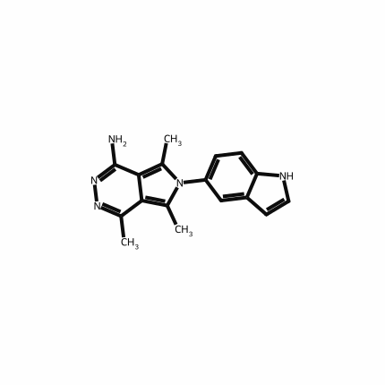 Cc1nnc(N)c2c(C)n(-c3ccc4[nH]ccc4c3)c(C)c12